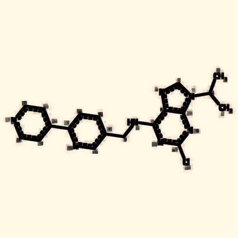 CC(C)n1cnc2c(NCc3ccc(-c4ccncc4)nc3)nc(Cl)nc21